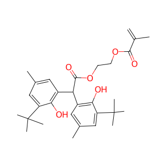 C=C(C)C(=O)OCCOC(=O)C(c1cc(C)cc(C(C)(C)C)c1O)c1cc(C)cc(C(C)(C)C)c1O